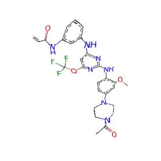 C=CC(=O)Nc1cccc(Nc2cc(OC(F)(F)F)nc(Nc3ccc(N4CCN(C(C)=O)CC4)cc3OC)n2)c1